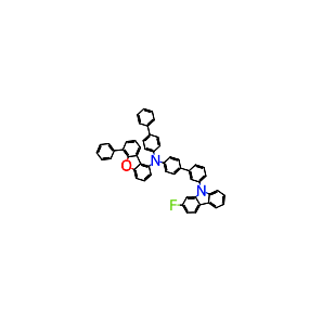 Fc1ccc2c3ccccc3n(-c3cccc(-c4ccc(N(c5ccc(-c6ccccc6)cc5)c5cccc6oc7c(-c8ccccc8)cccc7c56)cc4)c3)c2c1